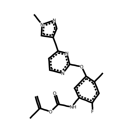 C=C(C)OC(=O)Nc1cc(Oc2nccc(-c3cnn(C)c3)n2)c(C)cc1F